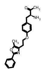 CC(=O)[C@@H](N)Cc1ccc(OCCc2nc(-c3ccccc3)oc2C)cc1